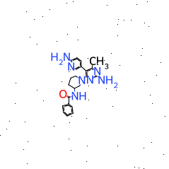 Cc1nc(N)nc(N2CCCC(NC(=O)c3ccccc3)C2)c1-c1ccc(N)nc1